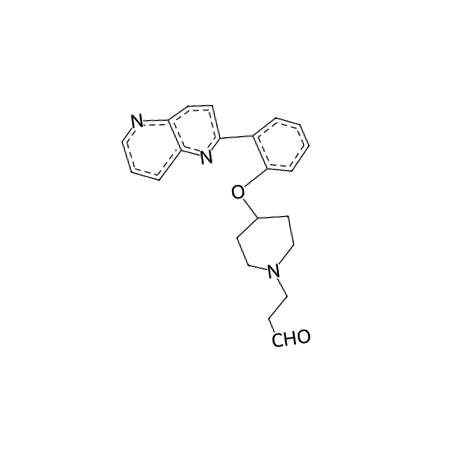 O=CCCN1CCC(Oc2ccccc2-c2ccc3ncccc3n2)CC1